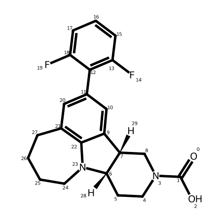 O=C(O)N1CC[C@H]2[C@@H](C1)c1cc(-c3c(F)cccc3F)cc3c1N2CCCC3